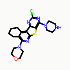 Clc1nc(N2CCNCC2)c2sc3nc(N4CCOCC4)c4c(c3c2n1)CCCC4